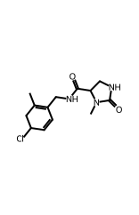 CC1=C(CNC(=O)C2CNC(=O)N2C)C=CC(Cl)C1